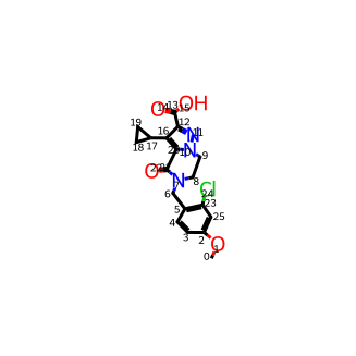 COc1ccc(CN2CCn3nc(C(=O)O)c(C4CC4)c3C2=O)c(Cl)c1